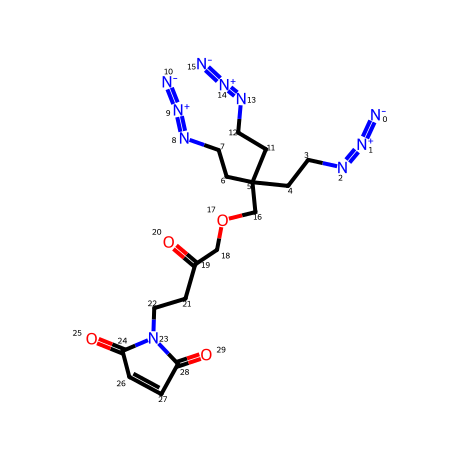 [N-]=[N+]=NCCC(CCN=[N+]=[N-])(CCN=[N+]=[N-])COCC(=O)CCN1C(=O)C=CC1=O